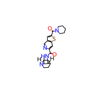 C[C@H]1[C@H](NC(=O)c2cc3sc(C(=O)N4CCCCC4)cc3cn2)C2CCN1CC2